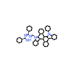 N=C(/N=C(\N=C\n1c2ccccc2c2c3c4ccccc4c4c5ccccc5n(-c5ccccc5)c4c3c3ccccc3c21)c1ccccc1)c1ccccc1